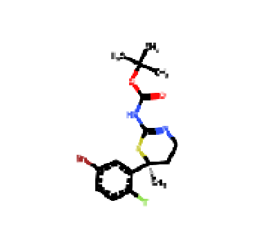 CC(C)(C)OC(=O)NC1=NCC[C@@](C)(c2cc(Br)ccc2F)S1